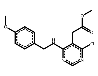 COC(=O)Cc1c(Cl)ncnc1NCc1ccc(OC)cc1